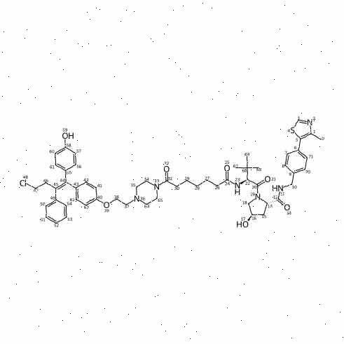 Cc1ncsc1-c1ccc(CNC(=O)[C@@H]2C[C@@H](O)CN2C(=O)[C@@H](NC(=O)CCCCCC(=O)N2CCN(CCOc3ccc(C(=C(CCCl)c4ccccc4)c4ccc(O)cc4)cc3)CC2)C(C)(C)C)cc1